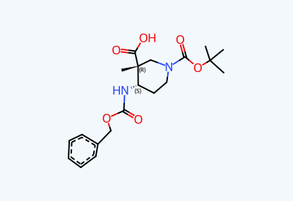 CC(C)(C)OC(=O)N1CC[C@H](NC(=O)OCc2ccccc2)[C@](C)(C(=O)O)C1